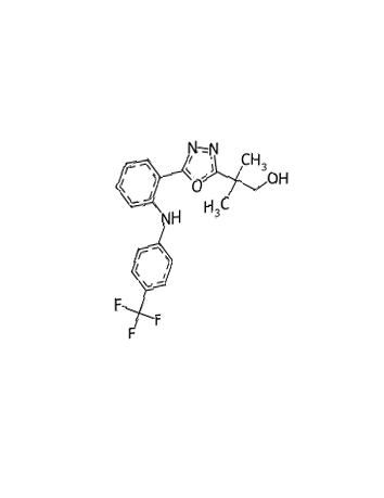 CC(C)(CO)c1nnc(-c2ccccc2Nc2ccc(C(F)(F)F)cc2)o1